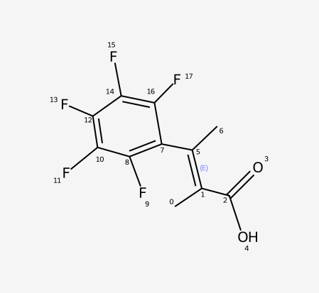 C/C(C(=O)O)=C(/C)c1c(F)c(F)c(F)c(F)c1F